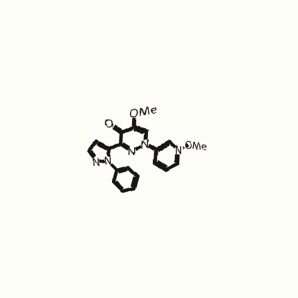 COc1cn(-c2ccc[n+](OC)c2)nc(-c2ccnn2-c2ccccc2)c1=O